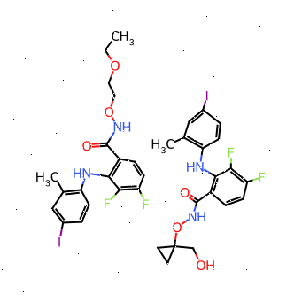 CCOCCONC(=O)c1ccc(F)c(F)c1Nc1ccc(I)cc1C.Cc1cc(I)ccc1Nc1c(C(=O)NOC2(CO)CC2)ccc(F)c1F